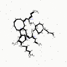 C=C/C=C(N)\C=C1\CCCCC/C(c2ccc(OCCCC)c(C)c2)=C(/C/C=C\C(=C/C=C)O[C@H]2CCCN(CCCF)CC2)C1